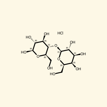 Cl.OC[C@H]1O[C@@H](O[C@H]2[C@H](O)[C@@H](O)[C@H](O)O[C@@H]2CO)[C@H](O)[C@@H](O)[C@H]1O